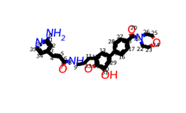 Nc1cc(/C=C/C(=O)NCC2Cc3cc(-c4ccc(C(=O)N5CCOCC5)cc4)cc(O)c3O2)ccn1